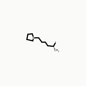 C[C@@H](I)CCCCN1CCCC1